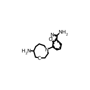 Nc1noc2c(N3CCCCC(N)CCC3)cccc12